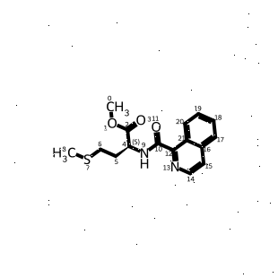 COC(=O)[C@H](CCSC)NC(=O)c1nccc2ccccc12